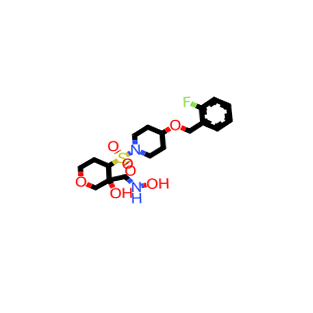 O=C(NO)C1(O)COCCC1S(=O)(=O)N1CCC(OCc2ccccc2F)CC1